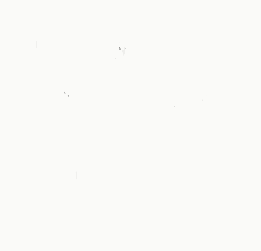 CCC(C(=O)O)N(C)CCCC1(c2ccc(F)cc2)OCc2ccccc21.Cl